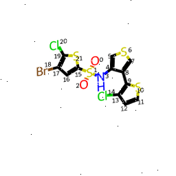 O=S(=O)(Nc1cscc1-c1sccc1Cl)c1cc(Br)c(Cl)s1